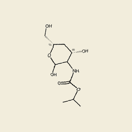 CC(C)OC(=O)NC1C(O)O[C@H](CO)C[C@@H]1O